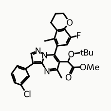 COC(=O)C(OC(C)(C)C)c1c(C)nc2c(-c3cccc(Cl)c3)cnn2c1-c1cc(F)c2c(c1C)CCCO2